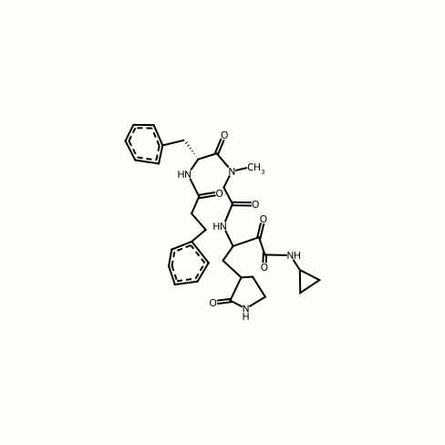 CN(CC(=O)NC(CC1CCNC1=O)C(=O)C(=O)NC1CC1)C(=O)[C@@H](Cc1ccccc1)NC(=O)CCc1ccccc1